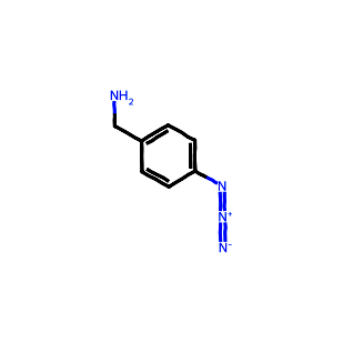 [N-]=[N+]=Nc1ccc(CN)cc1